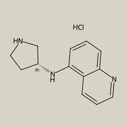 Cl.c1cc(N[C@@H]2CCNC2)c2cccnc2c1